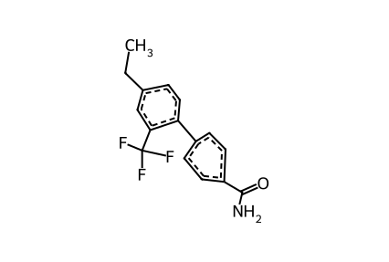 CCc1ccc(-c2ccc(C(N)=O)cc2)c(C(F)(F)F)c1